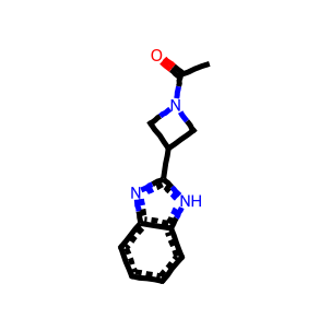 CC(=O)N1CC(c2nc3ccccc3[nH]2)C1